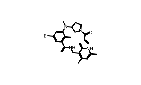 C=CC(=O)N1CCC(N(C)c2cc(Br)cc(C(=C)NCC3=C(C)C=C(C)NC3=C)c2C)C1